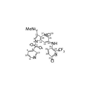 CNCc1cn(S(=O)(=O)c2cccnc2)c2cc(Nc3ccc(Cl)nc3C(F)(F)F)ccc12.Cl